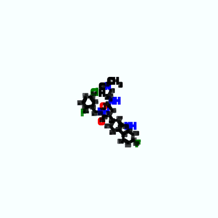 CN(C)CCNC(=O)CC(C(=O)NCc1cc(Cl)ccc1F)c1ccc2c(c1)[nH]c1cc(F)ccc12